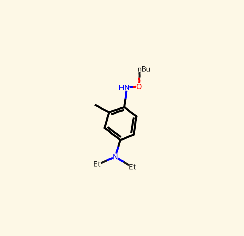 CCCCONc1ccc(N(CC)CC)cc1C